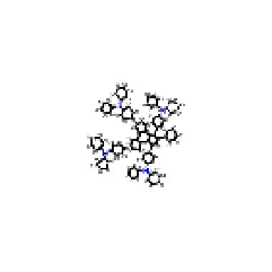 C1=CC(N(c2ccccc2)c2ccc(-c3cc(-c4ccccc4)c(-c4ccc(N(c5ccccc5)C5C=CCCC5)cc4)c4c5ccc(-c6ccc(N(c7ccccc7)c7ccccc7)cc6)cc5c5cc(-c6ccc(N(c7ccccc7)c7ccccc7)cc6)ccc5c34)cc2)=CCC1